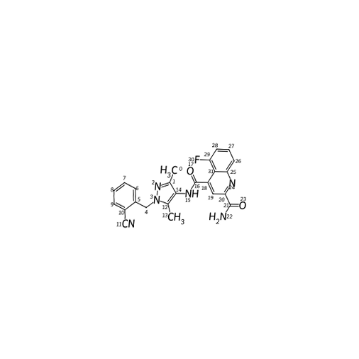 Cc1nn(Cc2ccccc2C#N)c(C)c1NC(=O)c1cc(C(N)=O)nc2cccc(F)c12